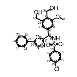 COc1cc(C(NS(=O)(=O)c2ccc(Cl)cc2)c2nnc(-c3ccccc3)o2)cc(CO)c1CO